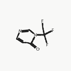 O=c1ccncn1C(F)(F)F